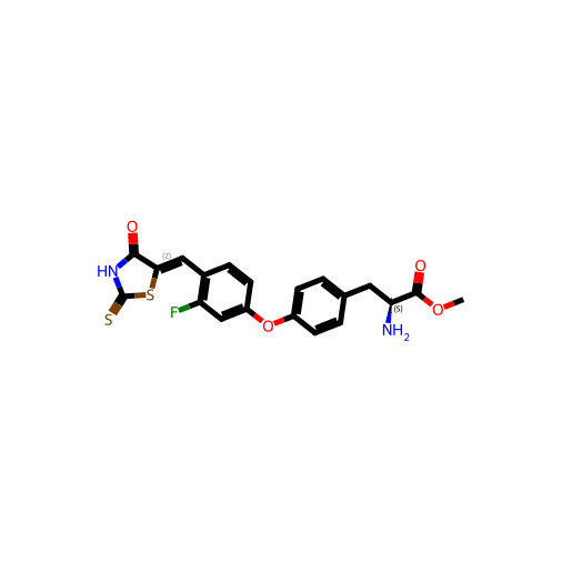 COC(=O)[C@@H](N)Cc1ccc(Oc2ccc(/C=C3\SC(=S)NC3=O)c(F)c2)cc1